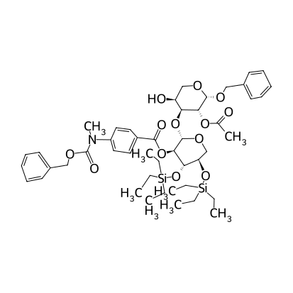 CC[Si](CC)(CC)O[C@@H]1[C@@H](OC(=O)c2ccc(N(C)C(=O)OCc3ccccc3)cc2)[C@H](O[C@@H]2[C@@H](OC(C)=O)[C@@H](OCc3ccccc3)OC[C@@H]2O)OC[C@H]1O[Si](CC)(CC)CC